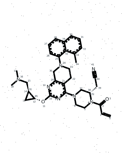 C=CC(=O)N1CCN(c2nc(O[C@@H]3C[C@H]3CN(C)C)nc3c2CCN(c2cccc4cccc(C)c24)C3)C[C@@H]1CC#N